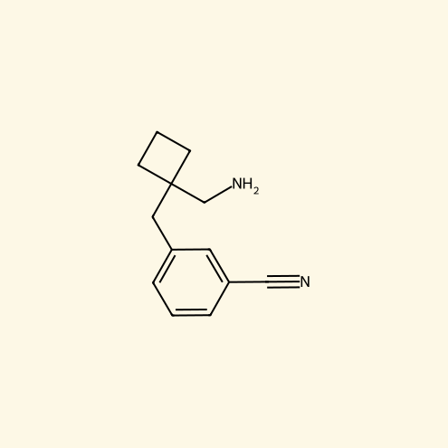 N#Cc1cccc(CC2(CN)CCC2)c1